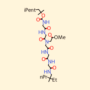 CCCC(C)CC(C)(C)OC(=O)NCC(=O)NCC(=O)N(CC(=O)NCC(=O)NCC(=O)NCC(C)(CC)CCC)CC(=O)OC